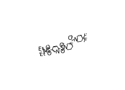 CCN(CC)S(=O)(=O)c1ccc(S(=O)(=O)N2CCC[C@@H](C(=O)N3CCC(F)(F)CC3)C2)nc1